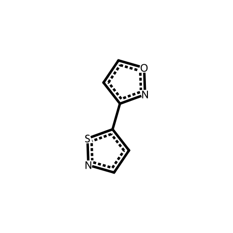 c1cc(-c2ccon2)sn1